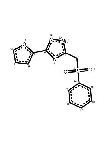 O=S(=O)(Cc1nc(-c2ccco2)n[nH]1)c1ccccc1